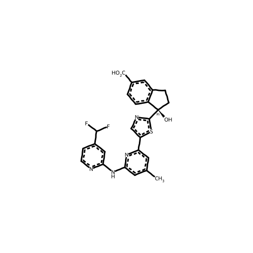 Cc1cc(Nc2cc(C(F)F)ccn2)nc(-c2cnc([C@@]3(O)CCc4cc(C(=O)O)ccc43)s2)c1